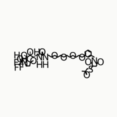 CC(=O)CSC1CC(=O)N(Cc2cccc(OCCOCCOCCOCCNC(=O)NC[C@H]3OC4CCN(C(=O)C(F)(F)F)[C@@H]4[C@@H](O)[C@H]3O)c2)C1=O